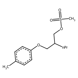 CCCC(COc1ccc(C)cc1)COS(C)(=O)=O